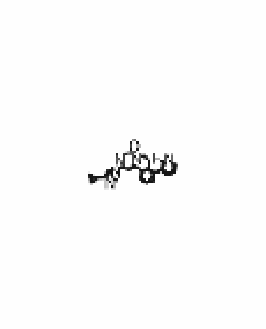 O=C1CN=C(n2cnc(C3CC3)c2)C=C2c3cccc(-c4cccnc4F)c3CCN12